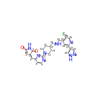 O=C1NC(=O)/C(=C\c2ccnc(N3CCC(CNCc4cc(-c5cn[nH]c5)ncc4F)CC3)n2)S1